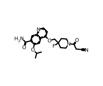 CC(C)Oc1cc2c(OCC3(F)CCN(C(=O)CC#N)CC3)ccnc2cc1C(N)=O